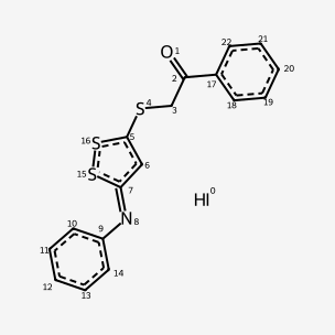 I.O=C(CSc1c/c(=N/c2ccccc2)ss1)c1ccccc1